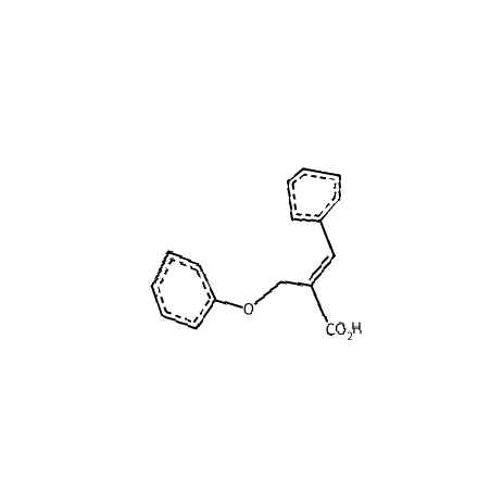 O=C(O)C(=Cc1ccccc1)COc1ccccc1